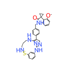 COc1ccccc1C1(C(=O)NCc2ccc(-c3cnc4nc3NCCCNSc3cccc(c3)N4)cc2)CC1